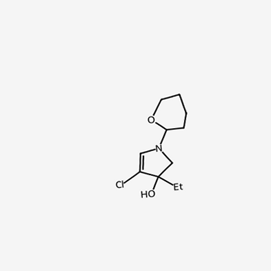 CCC1(O)CN(C2CCCCO2)C=C1Cl